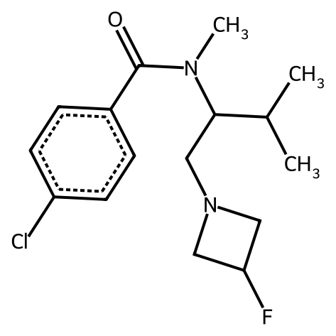 CC(C)C(CN1CC(F)C1)N(C)C(=O)c1ccc(Cl)cc1